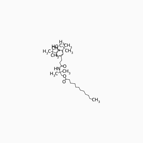 CCCCCCCCCCCC(=O)OCC(C)(C)NC(=O)CCc1cc(C(C)(C)C)c(O)c(C(C)(C)C)c1